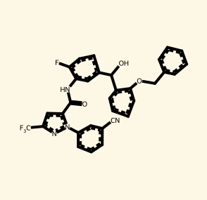 N#Cc1cccc(-n2nc(C(F)(F)F)cc2C(=O)Nc2cc(C(O)c3ccccc3OCc3ccccc3)ccc2F)c1